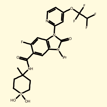 CC(C)n1c(=O)n(-c2cc(OC(F)(F)C(F)F)ccn2)c2cc(F)c(C(=O)NC3(C)CCS(O)(O)CC3)cc21